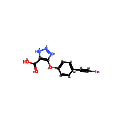 O=C(O)c1[nH]nnc1Oc1ccc(C#CI)cc1